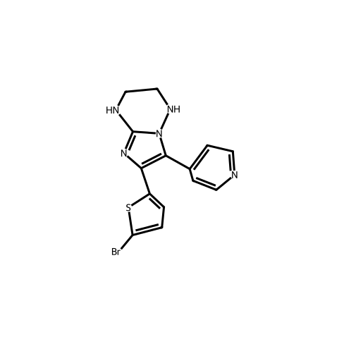 Brc1ccc(-c2nc3n(c2-c2ccncc2)NCCN3)s1